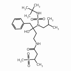 CC(C)CN(C(O)(CCNC(=O)CC(C)S(C)(=O)=O)Cc1ccccc1)S(=O)(=O)NC(C)(C)C